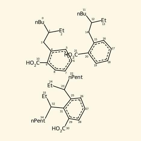 CCCCC(CC)Cc1ccccc1C(=O)O.CCCCC(CC)Cc1ccccc1C(=O)O.CCCCCC(CC)c1cccc(C(=O)O)c1C(CC)CCCCC